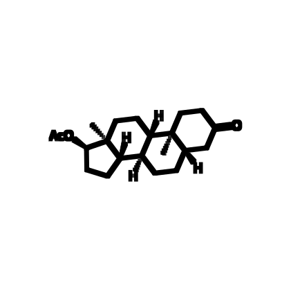 CC(=O)O[C@@H]1CC[C@H]2[C@@H]3CC[C@H]4CC(=O)CC[C@]4(C)[C@H]3CC[C@]12C